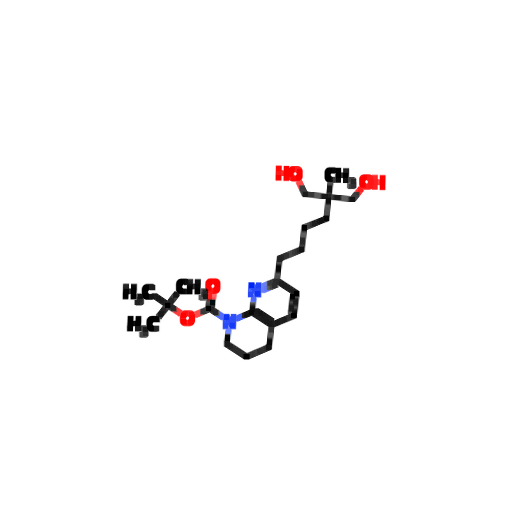 CC(CO)(CO)CCCCc1ccc2c(n1)N(C(=O)OC(C)(C)C)CCC2